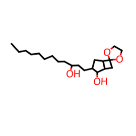 CCCCCCCCCC(O)CCC1CC2C(CC23OCCO3)C1O